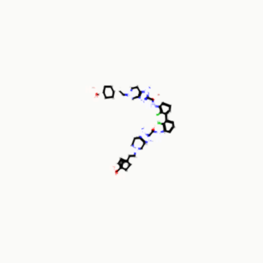 Cn1c(C(=O)Nc2cccc(-c3cccc(NC(=O)c4nc5c(n4C)CCN(CC[C@H]4CC[C@H](C(=O)O)CC4)C5)c3Cl)c2Cl)nc2c1CCN(CCC13CCC(C(=O)O)(CC1)C3)C2